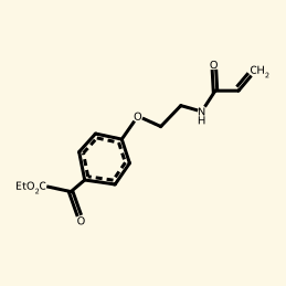 C=CC(=O)NCCOc1ccc(C(=O)C(=O)OCC)cc1